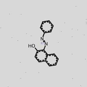 Oc1ccc2ccccc2c1/N=N/c1ccccc1